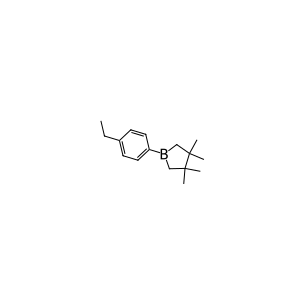 CCc1ccc(B2CC(C)(C)C(C)(C)C2)cc1